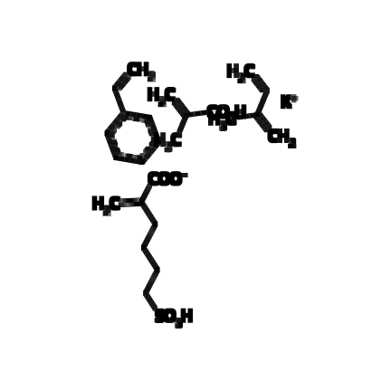 C=C(C)C(=O)O.C=C(CCCCS(=O)(=O)O)C(=O)[O-].C=CC(=C)C.C=Cc1ccccc1.[K+]